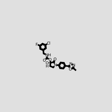 Cc1nnc(-c2ccc(N3CC[C@@](O)(OC(=O)NCc4cc(F)cc(Cl)c4)C3=O)cc2)o1